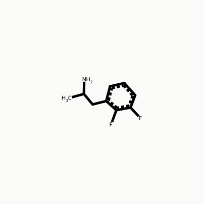 CC(N)Cc1cccc(F)c1F